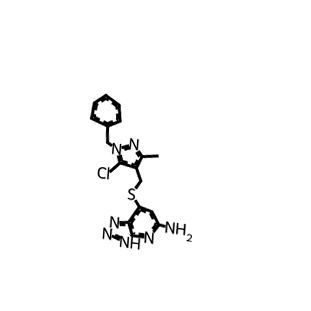 Cc1nn(Cc2ccccc2)c(Cl)c1CSc1cc(N)nc2[nH]nnc12